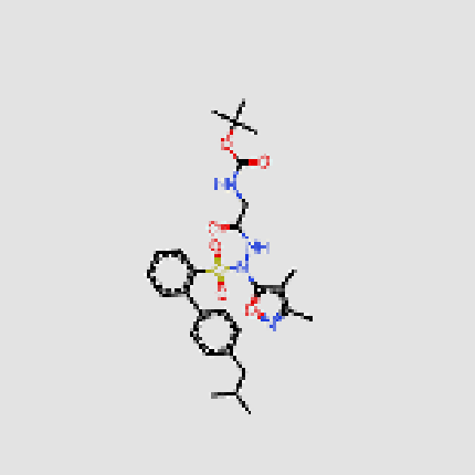 Cc1noc(N(NC(=O)CNC(=O)OC(C)(C)C)S(=O)(=O)c2ccccc2-c2ccc(CC(C)C)cc2)c1C